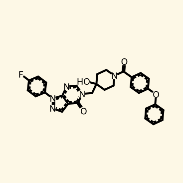 O=C(c1ccc(Oc2ccccc2)cc1)N1CCC(O)(Cn2cnc3c(cnn3-c3ccc(F)cc3)c2=O)CC1